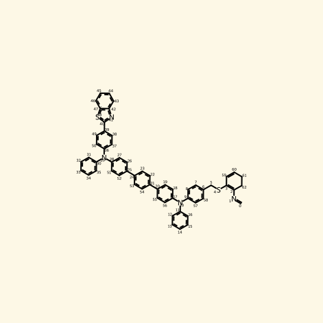 C=NC1=C(SCc2ccc(N(c3ccccc3)c3ccc(-c4ccc(-c5ccc(N(c6ccccc6)c6ccc(-c7nc8ccccc8s7)cc6)cc5)cc4)cc3)cc2)C=CCC1